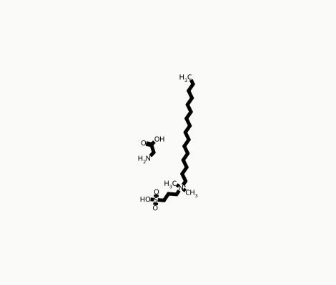 CCCCCCCCCCCCCCCC[N+](C)(C)CCCS(=O)(=O)O.NCC(=O)O